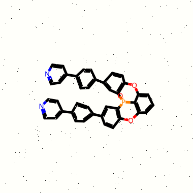 O=P12c3cc(-c4ccc(-c5ccncc5)cc4)ccc3Oc3cccc(c31)Oc1ccc(-c3ccc(-c4ccncc4)cc3)cc12